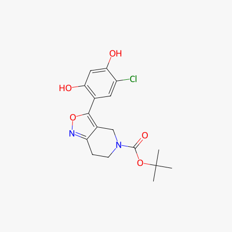 CC(C)(C)OC(=O)N1CCc2noc(-c3cc(Cl)c(O)cc3O)c2C1